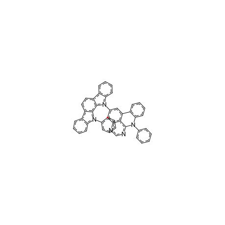 c1ccc(N2c3ccccc3-c3cc(-n4c5ccccc5c5ccc6c7ccccc7n(-c7ccccc7)c6c54)cc4ncnc2c34)cc1